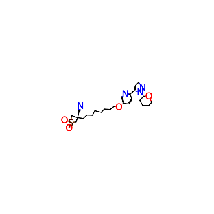 N#CC1(CCCCCCCCOc2ccc(-c3ccnn3C3CCCCO3)nc2)CS(=O)(=O)C1